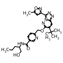 CCCC(CO)NC(=O)c1ccc(COc2nn3c(-c4cc(C)on4)nnc3cc2C(C)(C)C)nc1